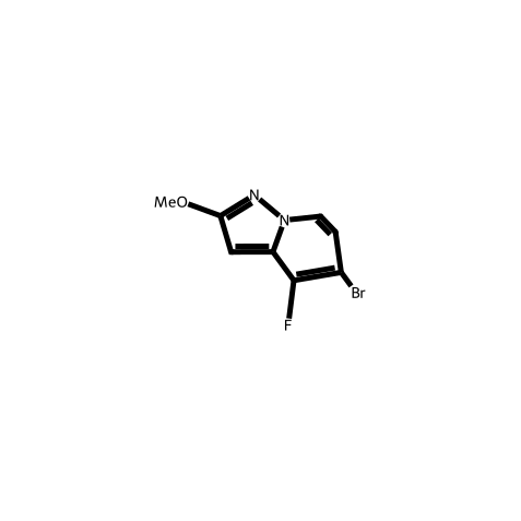 COc1cc2c(F)c(Br)ccn2n1